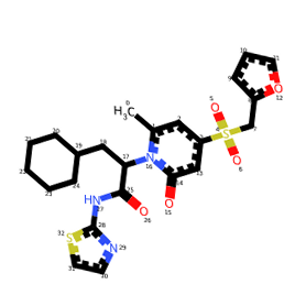 Cc1cc(S(=O)(=O)Cc2ccco2)cc(=O)n1C(CC1CCCCC1)C(=O)Nc1nccs1